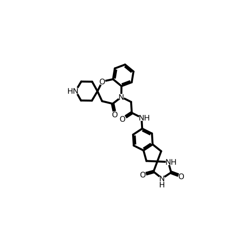 O=C(CN1C(=O)CC2(CCNCC2)Oc2ccccc21)Nc1ccc2c(c1)CC1(C2)NC(=O)NC1=O